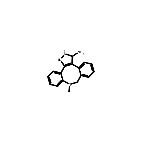 CN1Cc2ccccc2C2=C(NNC2N)c2ccccc21